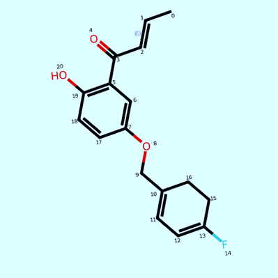 C/C=C/C(=O)c1cc(OCC2=CC=C(F)CC2)ccc1O